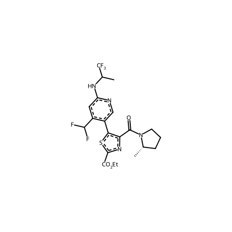 CCOC(=O)c1nc(C(=O)N2CCC[C@@H]2C)c(-c2cnc(NC(C)C(F)(F)F)cc2C(F)F)s1